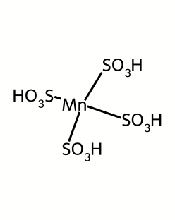 O=[S](=O)(O)[Mn]([S](=O)(=O)O)([S](=O)(=O)O)[S](=O)(=O)O